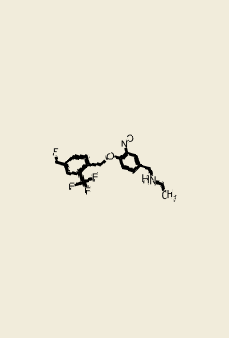 CCNCc1ccc(OCc2ccc(CF)cc2C(F)(F)F)c(N=O)c1